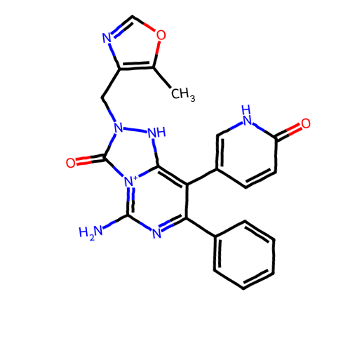 Cc1ocnc1Cn1[nH]c2c(-c3ccc(=O)[nH]c3)c(-c3ccccc3)nc(N)[n+]2c1=O